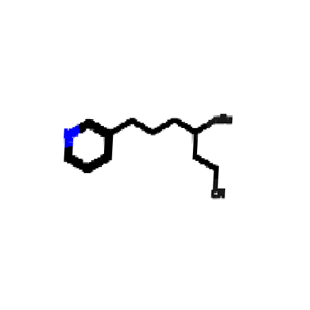 CCCCC(CCC#N)CCCc1cccnc1